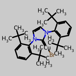 CC(C)(C)c1cccc(C(C)(C)C)c1-n1ccn(-c2c(C(C)(C)C)cccc2C(C)(C)C)[c]1=[Cu][Br]